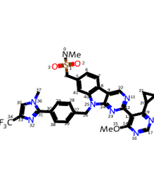 CNS(=O)(=O)Cc1ccc2c3cnc(-c4c(OC)ncnc4C4CC4)nc3n(Cc3ccc(-c4nc(C(F)(F)F)cn4C)cc3)c2c1